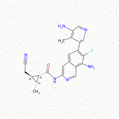 Cc1c(N)cncc1-c1cc2cc(NC(=O)[C@@H]3[C@H](C)[C@H]3CC#N)ncc2c(N)c1F